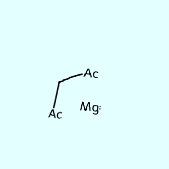 CC(=O)CC(C)=O.[Mg]